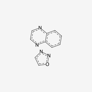 c1ccc2nccnc2c1.c1conn1